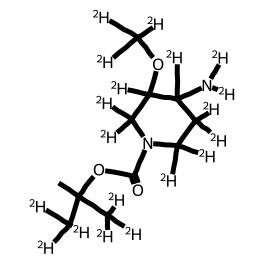 [2H]N([2H])C1([2H])C([2H])([2H])C([2H])([2H])N(C(=O)OC(C)(C([2H])([2H])[2H])C([2H])([2H])[2H])C([2H])([2H])C1([2H])OC([2H])([2H])[2H]